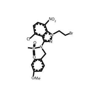 COc1ccc(CN(c2nn(CCBr)c3c([N+](=O)[O-])ccc(Cl)c23)S(C)(=O)=O)cc1